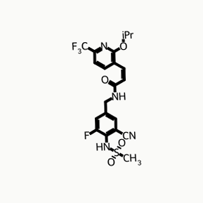 CC(C)Oc1nc(C(F)(F)F)ccc1/C=C\C(=O)NCc1cc(F)c(NS(C)(=O)=O)c(C#N)c1